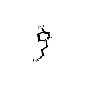 CCCC[n+]1ccc(S)cc1